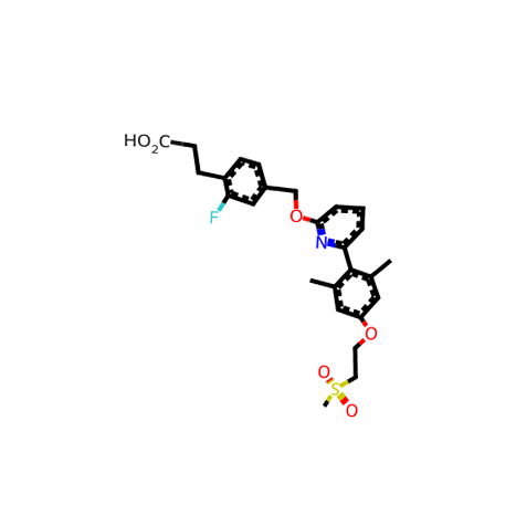 Cc1cc(OCCS(C)(=O)=O)cc(C)c1-c1cccc(OCc2ccc(CCC(=O)O)c(F)c2)n1